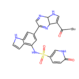 CC(C)(C)C(=O)C1=CNC2N=CC(c3cc(NS(=O)(=O)c4ccc(=O)[nH]c4)c4cc[nH]c4c3)=NC12